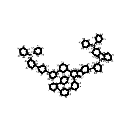 c1ccc(-c2ccccc2-c2cccc(-c3cccc(-c4cc(-c5cccc(-c6cccc(-c7ccc(-c8cccc(N(c9ccccc9)c9ccccc9)c8)cc7)c6)c5)cc5c4oc4cc(-c6cccc(-n7c8ccccc8c8cc(N(c9ccccc9)c9ccccc9)ccc87)c6)ccc45)c3)c2)cc1